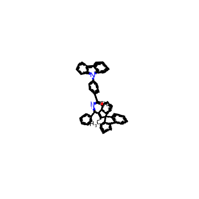 C=C(/N=C(\C1=C(C)C2(c3ccccc31)c1ccccc1-c1ccccc12)c1ccccc1)c1ccc(-n2c3ccccc3c3ccccc32)cc1